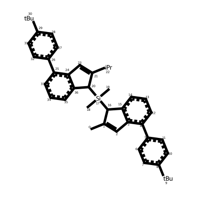 CC1=Cc2c(-c3ccc(C(C)(C)C)cc3)cccc2C1[Si](C)(C)C1C(C(C)C)=Cc2c(-c3ccc(C(C)(C)C)cc3)cccc21